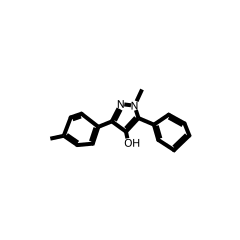 Cc1ccc(-c2nn(C)c(-c3ccccc3)c2O)cc1